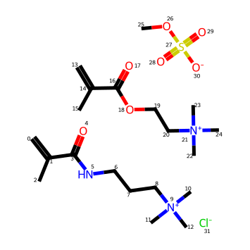 C=C(C)C(=O)NCCC[N+](C)(C)C.C=C(C)C(=O)OCC[N+](C)(C)C.COS(=O)(=O)[O-].[Cl-]